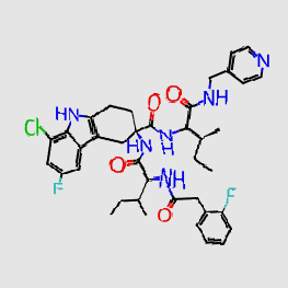 CCC(C)[C@H](NC(=O)Cc1ccccc1F)C(=O)N[C@]1(C(=O)NC(C(=O)NCc2ccncc2)[C@@H](C)CC)CCc2[nH]c3c(Cl)cc(F)cc3c2C1